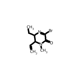 C=CC1C(CC)N=C(Br)C(=O)N1C